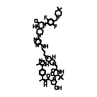 Cc1ncsc1-c1ccc([C@H](C)NC(=O)[C@@H]2C[C@@H](O)CN2C(=O)[C@@H](NC(=O)CN2C[C@H]3CN(CCCNc4cc(N5CCC6(CC5)CN(c5cc(F)c(CN7CCC(C)(C)CC7)cc5F)CC(=O)N6)ncn4)C[C@H]3C2)C(C)(C)C)cc1